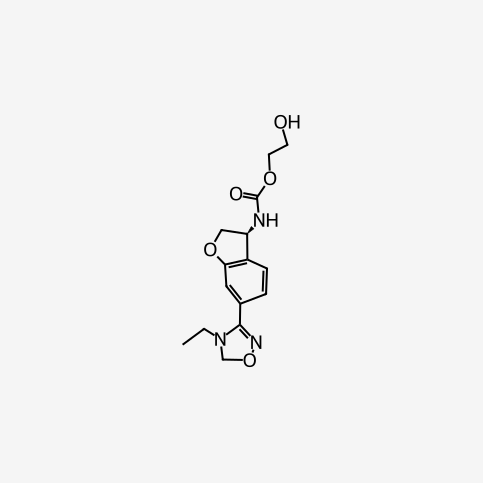 CCN1CON=C1c1ccc2c(c1)OC[C@H]2NC(=O)OCCO